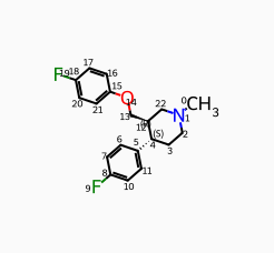 CN1CC[C@H](c2ccc(F)cc2)[C@@H](COc2ccc(F)cc2)C1